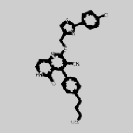 N#Cc1c(OCc2csc(-c3ccc(Cl)cc3)n2)nc2cc[nH]c(=O)c2c1-c1ccc(CCCO)cc1